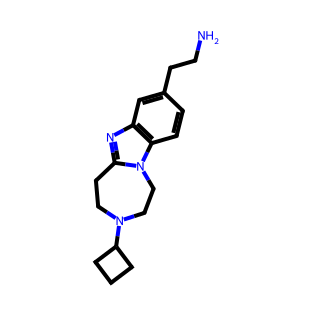 NCCc1ccc2c(c1)nc1n2CCN(C2CCC2)CC1